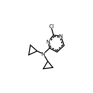 Clc1nccc(N(C2CC2)C2CC2)n1